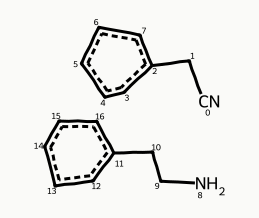 N#CCc1ccccc1.NCCc1ccccc1